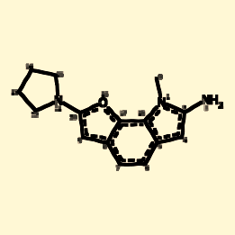 Cn1c(N)cc2ccc3cc(N4CCCC4)oc3c21